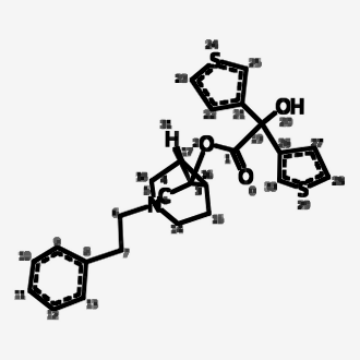 O=C(O[C@H]1C[N+]2(CCc3ccccc3)CCC1CC2)C(O)(c1ccsc1)c1ccsc1